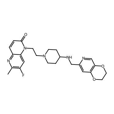 Cc1nc2ccc(=O)n(CCN3CCC(NCc4cc5c(cn4)OCCO5)CC3)c2cc1F